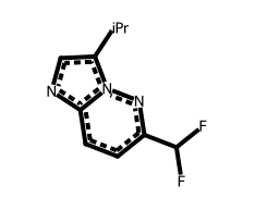 CC(C)c1cnc2ccc(C(F)F)nn12